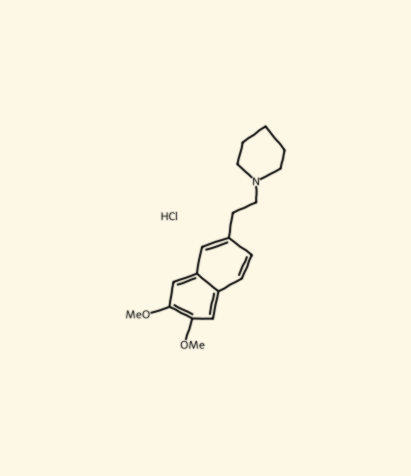 COc1cc2ccc(CCN3CCCCC3)cc2cc1OC.Cl